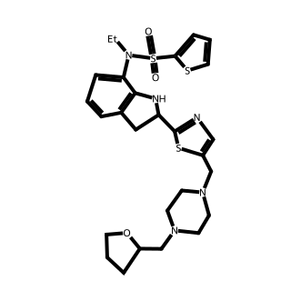 CCN(c1cccc2c1NC(c1ncc(CN3CCN(CC4CCCO4)CC3)s1)C2)S(=O)(=O)c1cccs1